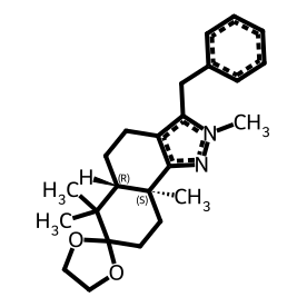 Cn1nc2c(c1Cc1ccccc1)CC[C@H]1C(C)(C)C3(CC[C@]21C)OCCO3